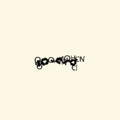 C[C@@H]1C[C@H](COc2ccc(S(C)(=O)=O)cc2)CN1[C@H](C)[C@@H](O)c1cc(Cl)cc(C#N)c1